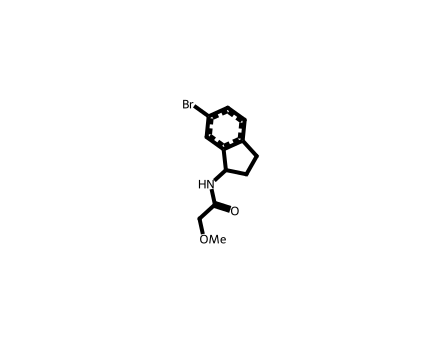 COCC(=O)NC1CCc2ccc(Br)cc21